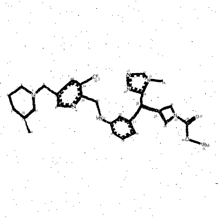 C[C@H]1CCCN(Cc2cnc(CNc3cccc(C(c4nncn4C)C4CN(C(=O)OC(C)(C)C)C4)c3)c(C(F)(F)F)c2)C1